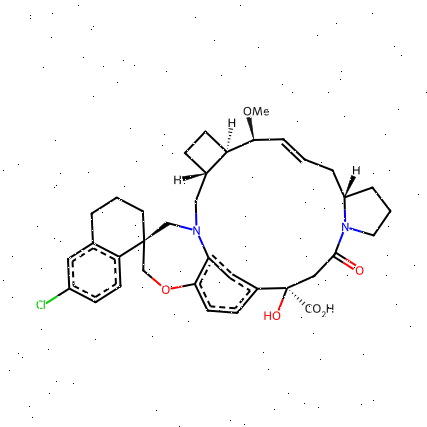 CO[C@H]1/C=C/C[C@@H]2CCCN2C(=O)C[C@](O)(C(=O)O)c2ccc3c(c2)N(C[C@@H]2CC[C@H]21)C[C@@]1(CCCc2cc(Cl)ccc21)CO3